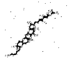 C=C/C=C\CCC1OC2CCC3(C)OC4C(O)CC5(C)OC(CC/C=C(C)/C(C)=C/C(=O)N=C(N)N)C(C)CC5OC4CC3OC2CCC1(C)O